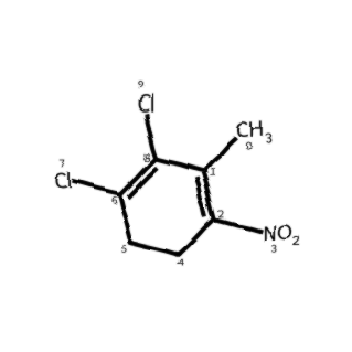 CC1=C([N+](=O)[O-])CCC(Cl)=C1Cl